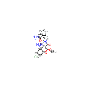 CC(C)(C)OC(=O)C(C(=O)N1CC(C2(C(N)=O)CCCCC2)C1)C(N)c1ccc(Cl)cc1